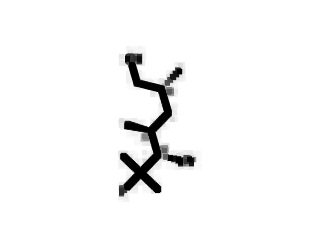 CCC[C@@H]([C@@H](C)C[C@@H](C)CO)C(C)(C)F